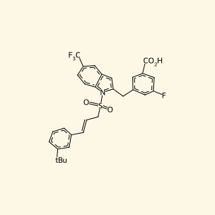 CC(C)(C)c1cccc(C=CCS(=O)(=O)n2c(Cc3cc(F)cc(C(=O)O)c3)cc3cc(C(F)(F)F)ccc32)c1